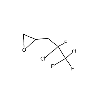 FC(F)(Cl)C(F)(Cl)CC1CO1